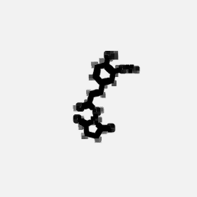 COc1cc(/C=C/C(=O)ON2C(=O)CCC2=O)ccc1O